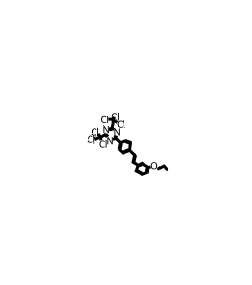 CCCOc1cccc(C=Cc2ccc(-c3nc(C(Cl)(Cl)Cl)nc(C(Cl)(Cl)Cl)n3)cc2)c1